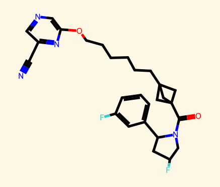 N#Cc1cncc(OCCCCCCC23CC(C(=O)N4CC(F)CC4c4cccc(F)c4)(C2)C3)n1